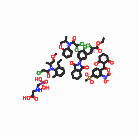 CC1COc2ccccc2N1C(=O)C(Cl)Cl.CCOC(=O)/C(Cl)=C/c1cc(N2C(=O)C3=C(CCCC3)C2=O)ccc1Cl.CCc1cccc(C)c1N(C(=O)CCl)C(C)COC.CS(=O)(=O)c1ccc(C(=O)C2C(=O)CCCC2=O)c([N+](=O)[O-])c1.O=C(O)CNCP(=O)(O)O